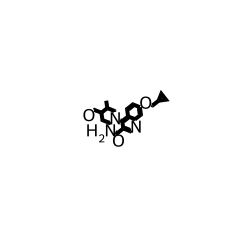 CC1CN(c2c(C(N)=O)cnc3cc(OCC4CC4)ccc23)CCC1C=O